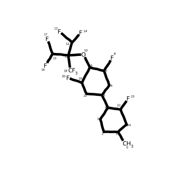 CC1CCC(C2CC(F)C(OC(C(F)F)(C(F)F)C(F)(F)F)C(F)C2)C(F)C1